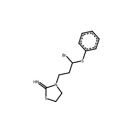 N=C1SCCN1CCC(Br)Sc1ccccc1